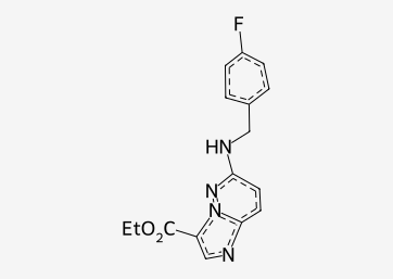 CCOC(=O)c1cnc2ccc(NCc3ccc(F)cc3)nn12